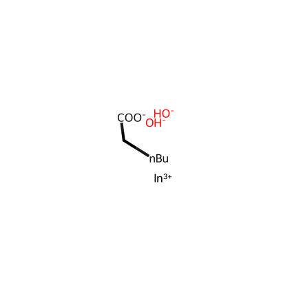 CCCCCC(=O)[O-].[In+3].[OH-].[OH-]